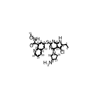 CCc1[nH]c2nc(Sc3cc(C(=O)NOC)c4ncccc4c3)nc(N3CC[C@@H](N)C3)c2c1Cl